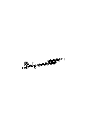 CCO[Si](CCCNC(=O)OCCCCCCOc1ccc2cc(C=CC(=O)O)ccc2c1)(OCC)OCC